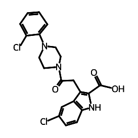 O=C(O)c1[nH]c2ccc(Cl)cc2c1CC(=O)N1CCN(c2ccccc2Cl)CC1